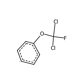 FC(Cl)(Cl)Oc1cc[c]cc1